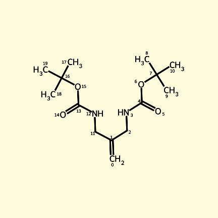 C=C(CNC(=O)OC(C)(C)C)CNC(=O)OC(C)(C)C